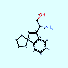 NC(CO)C1=CC2(CCCC2)c2ccccc21